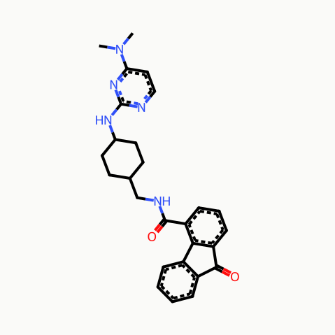 CN(C)c1ccnc(NC2CCC(CNC(=O)c3cccc4c3-c3ccccc3C4=O)CC2)n1